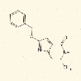 C[C@@H]1Cn2nc(OCc3ccccc3)cc2C(=O)N1